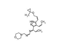 C=C/C(=N\C=N/CN1CCOCC1)c1n[nH]c(/C=C\COC2(C)CC2)c1/C=C\C